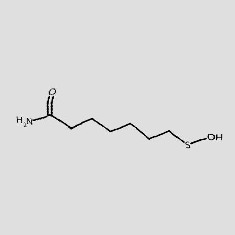 NC(=O)CCCCCCSO